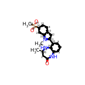 C[C@@H]1CC(=O)Nc2cccc(-c3cc4ccc(S(C)(=O)=O)cc4n3C)c2N1